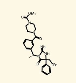 COC(=O)N1CCN(C(=O)c2cccc([C@@H](C)N3C(=N)NC(CC(C)C)(c4ccccc4)C3=O)c2)CC1